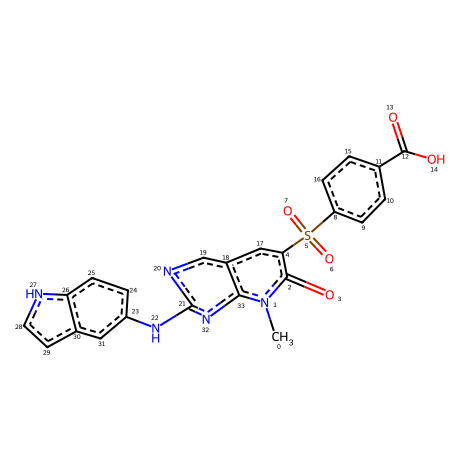 Cn1c(=O)c(S(=O)(=O)c2ccc(C(=O)O)cc2)cc2cnc(Nc3ccc4[nH]ccc4c3)nc21